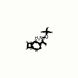 C=C([SiH2]OC(C)(C)C)c1ccc2c(c1)C=C2